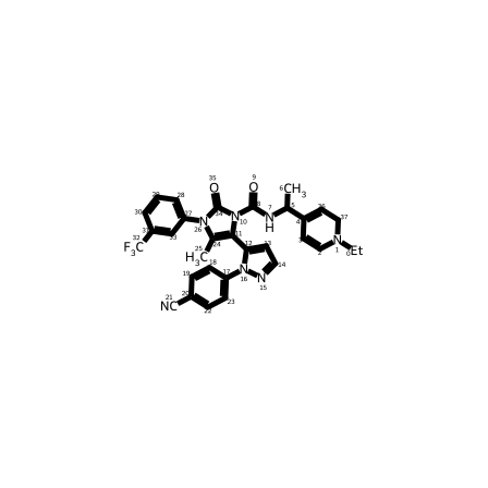 CCN1C=CC(C(C)NC(=O)n2c(-c3ccnn3-c3ccc(C#N)cc3)c(C)n(-c3cccc(C(F)(F)F)c3)c2=O)=CC1